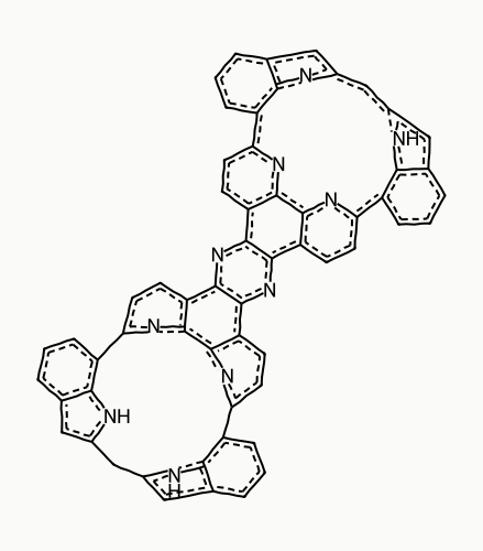 c1cc2c3[nH]c(cc3c1)Cc1cc3cccc(c3[nH]1)-c1ccc3c(n1)c1nc-2ccc1c1nc2c4ccc5nc4c4nc(ccc4c2nc31)c1cccc2cc(cc3cc4cccc5c4n3)[nH]c21